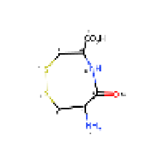 NC1CSSCC(C(=O)O)NC1=O